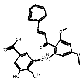 COc1cc(O)c(C(=O)C=Cc2ccccc2)c(OC)c1.O=C(O)c1cc(O)c(O)c(O)c1